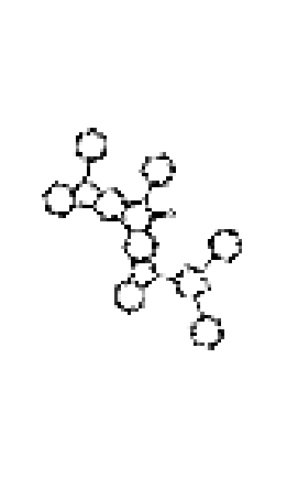 O=c1c2cc3c(cc2c2cc4c5ccccc5n(-c5ccccc5)c4cc2n1-c1ccccc1)c1ccccc1n3-c1cc(-c2ccccc2)nc(-c2ccccc2)n1